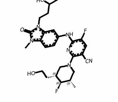 CC(O)CCn1c(=O)n(C)c2ccc(Nc3nc(N4C[C@@H](CCO)[C@H](F)[C@@H](C)C4)c(C#N)cc3F)cc21